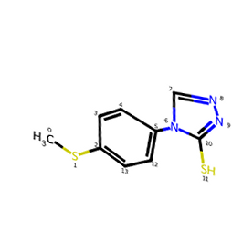 CSc1ccc(-n2cnnc2S)cc1